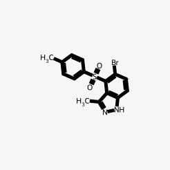 Cc1ccc(S(=O)(=O)c2c(Br)[c]cc3[nH]nc(C)c23)cc1